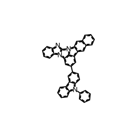 c1ccc(-n2c3ccccc3c3cc(-c4cc5c6cc7ccccc7cc6n6c5c(c4)n4c5ccccc5nc46)ccc32)cc1